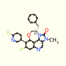 Cn1c(=O)n2c3c4c(c(-c5ccc(F)nc5)c(F)cc4ncc31)OC[C@@H]2Cc1ccccc1